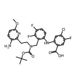 COc1ccc(N)c(CCN(Cc2c(Nc3cc(Cl)c(F)cc3C(=O)O)ccc(F)c2F)C(=O)OC(C)(C)C)n1